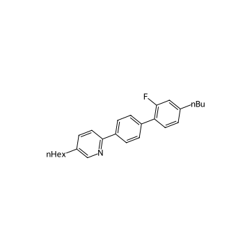 CCCCCCc1ccc(-c2ccc(-c3ccc(CCCC)cc3F)cc2)nc1